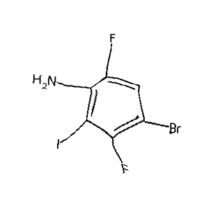 Nc1c(F)cc(Br)c(F)c1I